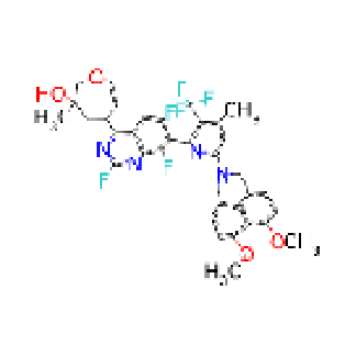 COc1ccc(CN(Cc2ccc(OC)cc2)c2cc(C)c(C(F)(F)F)c(-c3c(F)cc4c(C5=CC(C)(O)COC=C5)nc(F)nc4c3F)n2)cc1